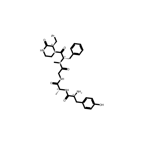 CC(C)C[C@@H]1C(=O)NCCN1C(=O)[C@H](Cc1ccccc1)N(C)C(=O)CNC(=O)[C@@H](C)NC(=O)[C@@H](N)Cc1ccc(O)cc1